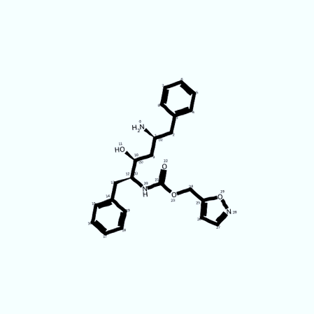 N[C@@H](Cc1ccccc1)C[C@H](O)[C@H](Cc1ccccc1)NC(=O)OCc1ccno1